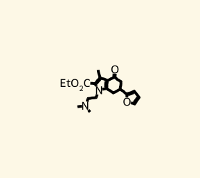 CCOC(=O)c1c(C)c2c(n1CCN(C)C)CC(c1ccco1)CC2=O